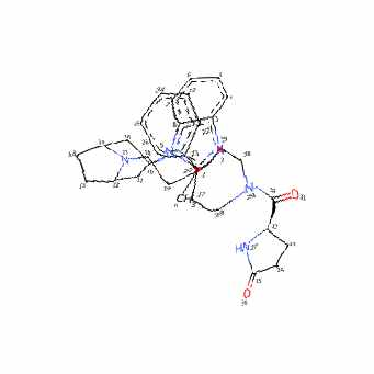 Cc1nc2ccccc2n1C1CC2CCC(C1)N2CCC1(c2ccccc2)CCN(C(=O)[C@H]2CCC(=O)N2)CC1